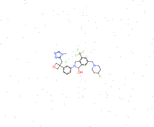 Cn1cnnc1[C@H](F)C1(c2cccc(N3Cc4c(cc(CN5CCC(F)CC5)cc4C(F)(F)F)C3O)c2)COC1